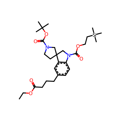 CCOC(=O)CCCc1ccc2c(c1)C1(CCN(C(=O)OC(C)(C)C)C1)CN2C(=O)OCC[Si](C)(C)C